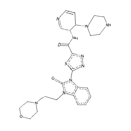 O=C(NC1C=NC=CC1N1CCNCC1)c1nnc(-n2c(=O)n(CCN3CCOCC3)c3ccccc32)s1